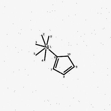 [CH3][Ni]([CH3])([CH3])([CH3])([CH3])[C]1=CC=CC1